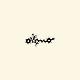 COC(=O)C([C@H]1CC(=O)O[C@H](CCCCc2ccc(C#N)cc2)C1)S(=O)(=O)c1ccccc1